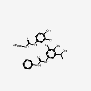 CC(O)c1cc(NC(=O)Nc2ccccc2)cc(Cl)c1O.CCCCCNC(=S)Nc1ccc(O)c(Cl)c1